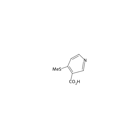 CSc1ccncc1C(=O)O